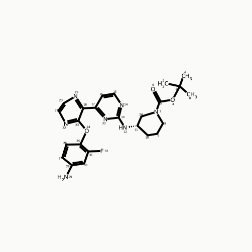 CC(C)(C)OC(=O)N1CCC[C@H](Nc2nccc(-c3nccnc3Oc3ccc(N)cc3F)n2)C1